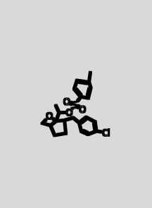 Cc1ccc(S(=O)(=O)OC(C)C23OCC2CCC3Cc2ccc(Cl)cc2)cc1